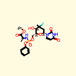 CC(C)OC(=O)[C@H](C)NP(=O)(OC[C@H]1O[C@@H](n2ccc(=O)[nH]c2=O)CC(C)(F)[C@@H]1O)Oc1ccccc1